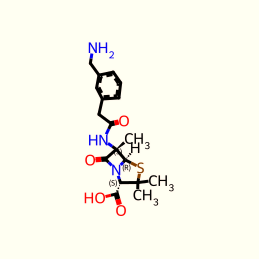 CC1(C)S[C@H]2N(C(=O)[C@]2(C)NC(=O)Cc2cccc(CN)c2)[C@H]1C(=O)O